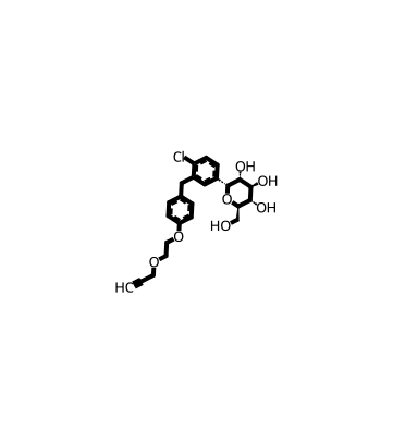 C#CCOCCOc1ccc(Cc2cc([C@H]3O[C@H](CO)[C@@H](O)[C@H](O)[C@H]3O)ccc2Cl)cc1